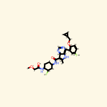 COCC(=O)NC1CCC(NC(=O)c2c(C)[nH]c3c(-c4cc(F)ccc4OCC4CC4)ncnc23)CC1F